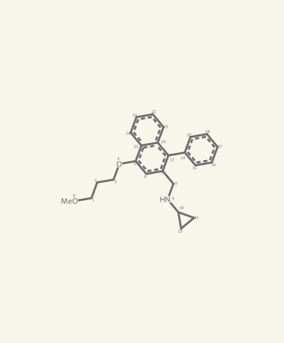 COCCCOc1cc(CNC2CC2)c(-c2ccccc2)c2ccccc12